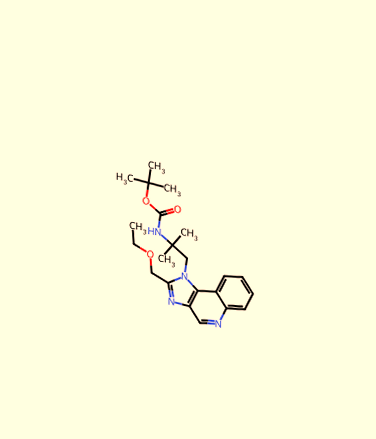 CCOCc1nc2cnc3ccccc3c2n1CC(C)(C)NC(=O)OC(C)(C)C